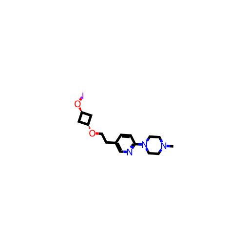 CN1CCN(c2ccc(CCO[C@H]3C[C@H](OI)C3)cn2)CC1